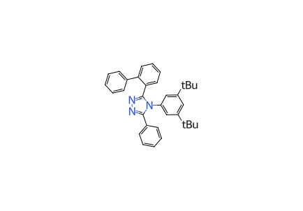 CC(C)(C)c1cc(-n2c(-c3ccccc3)nnc2-c2ccccc2-c2ccccc2)cc(C(C)(C)C)c1